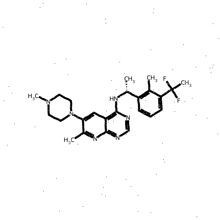 Cc1nc2ncnc(N[C@H](C)c3cccc(C(C)(F)F)c3C)c2cc1N1CCN(C)CC1